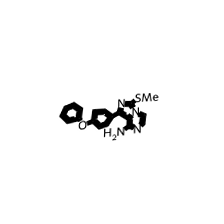 CSc1nc(-c2ccc(Oc3ccccc3)cc2)c2c(N)nccn12